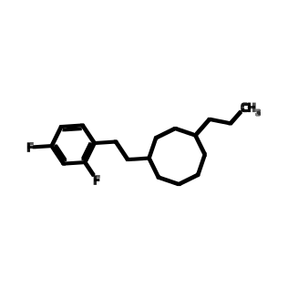 CCCC1CCCCC(CCc2ccc(F)cc2F)CC1